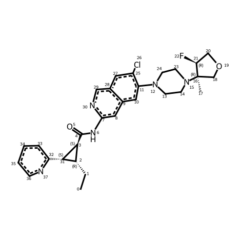 CC[C@H]1[C@H](C(=O)Nc2cc3cc(N4CCN([C@]5(C)COC[C@@H]5F)CC4)c(Cl)cc3cn2)[C@H]1c1ccccn1